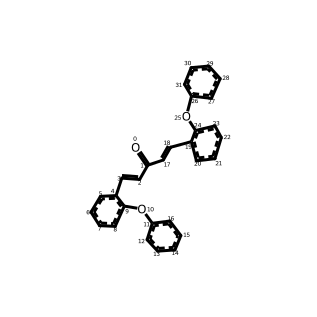 O=C(/C=C/c1ccccc1Oc1ccccc1)/C=C/c1ccccc1Oc1ccccc1